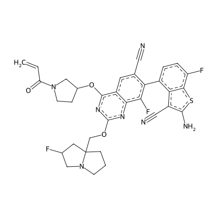 C=CC(=O)N1CCC(Oc2nc(OCC34CCCN3CC(F)C4)nc3c(F)c(-c4ccc(F)c5sc(N)c(C#N)c45)c(C#N)cc23)C1